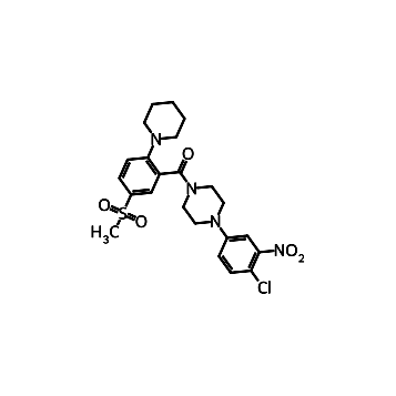 CS(=O)(=O)c1ccc(N2CCCCC2)c(C(=O)N2CCN(c3ccc(Cl)c([N+](=O)[O-])c3)CC2)c1